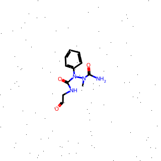 CN(C(N)=O)N(C(=O)NC[C]=O)c1ccccc1